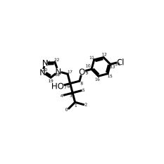 CC(C)C(C)(C)C(O)(COc1ccc(Cl)cc1)Cn1cnnc1